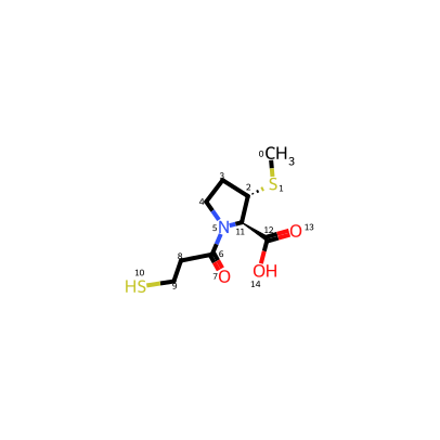 CS[C@H]1CCN(C(=O)CCS)[C@@H]1C(=O)O